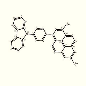 CC(C)(C)c1cc2ccc3c(-c4ccc(-n5c6ccccc6c6ccccc65)cc4)cc(C(C)(C)C)c4ccc(c1)c2c34